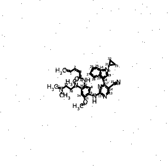 C=C/C=C\C(=O)Nc1cc(Nc2ncc(C#N)c(-c3cn(C4CC4)c4ccccc34)n2)c(OC)cc1N(C)CCN(C)C